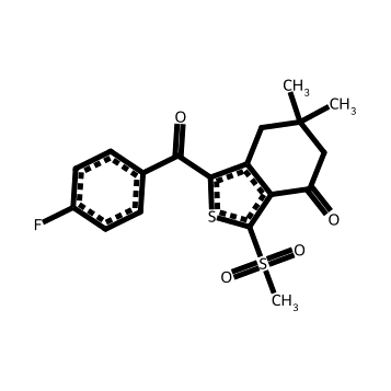 CC1(C)CC(=O)c2c(S(C)(=O)=O)sc(C(=O)c3ccc(F)cc3)c2C1